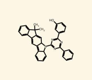 CC1(C)C2=CC3C(=C4C=CC=CC4N3c3nc(-c4ccccc4)nc(-c4cccc(O)c4)n3)C=C2c2ccccc21